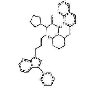 O=C(NN1C(F)CCCC1Cc1ccc2ccccc2n1)C(CCCCn1cc(-c2ccccc2)c2cccnc21)C1CCCC1